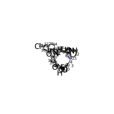 C[C@@H]1[C@@H](C)C/C=C/[C@](O)(c2ccccn2)[C@@H]2CC[C@H]2CN2C[C@@]3(CCCc4cc(Cl)ccc43)COc3ccc(cc32)C(=O)NS1(=O)=O